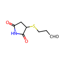 O=CCCSC1CC(=O)NC1=O